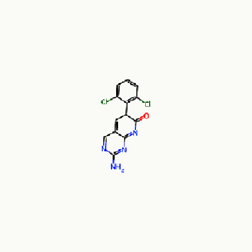 Nc1ncc2c(n1)=NC(=O)C(c1c(Cl)cccc1Cl)C=2